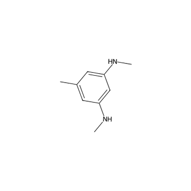 CNc1cc(C)cc(NC)c1